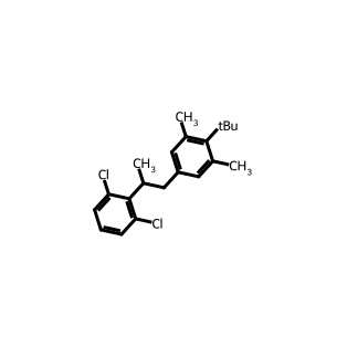 Cc1cc(CC(C)c2c(Cl)cccc2Cl)cc(C)c1C(C)(C)C